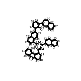 c1ccc2cc(-c3nc(-c4cccc5cc(-c6cccc7c6oc6c8ccccc8ccc76)ccc45)nc(-c4cccc5oc6ccccc6c45)n3)ccc2c1